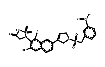 O=C1CN(c2c(O)cc3ccc(C4=CCN(S(=O)(=O)Cc5cccc([N+](=O)[O-])c5)C4)cc3c2F)S(=O)(=O)N1